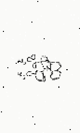 C=C(C(=O)OC)C(c1cc(C)ccn1)n1c(=O)ccc2ccccc21